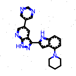 c1cc(N2CCCCC2)c2cc(-c3n[nH]c4ncc(-c5cncnc5)cc34)[nH]c2c1